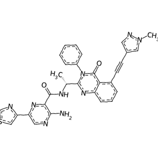 C[C@@H](NC(=O)c1nc(-c2cscn2)cnc1N)c1nc2cccc(C#Cc3cnn(C)c3)c2c(=O)n1-c1ccccc1